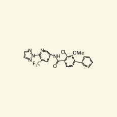 COc1c(-c2ccccc2)ccc(C(=O)Nc2cnc(-n3nccn3)c(C(F)(F)F)c2)c1Cl